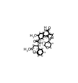 Cc1cc2[nH]c(=O)c3cnn(C4CCOCC4)c3c2cc1C(=O)NC(CN(C)C)c1ccccc1